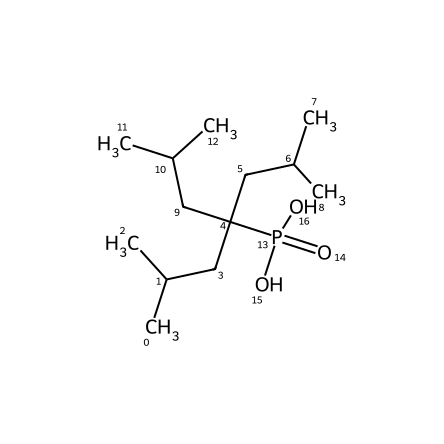 CC(C)CC(CC(C)C)(CC(C)C)P(=O)(O)O